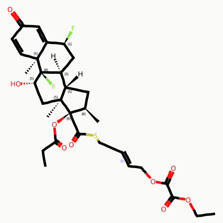 CCOC(=O)C(=O)OC/C=C/CSC(=O)[C@@]1(OC(=O)CC)[C@H](C)C[C@H]2[C@@H]3C[C@H](F)C4=CC(=O)C=C[C@]4(C)[C@@]3(F)[C@@H](O)C[C@@]21C